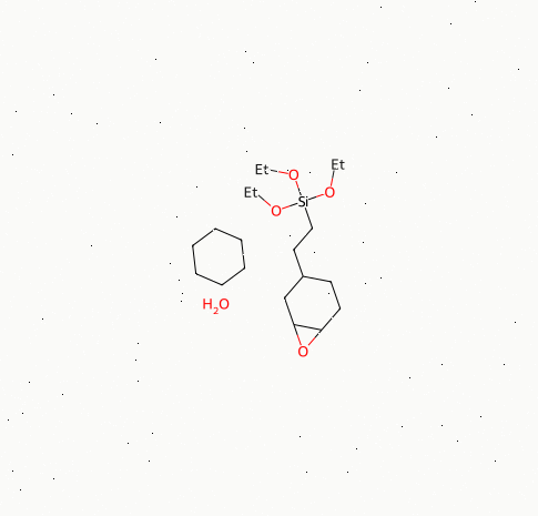 C1CCCCC1.CCO[Si](CCC1CCC2OC2C1)(OCC)OCC.O